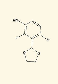 CCCc1ccc(Br)c(C2OCCO2)c1F